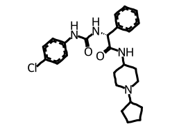 O=C(Nc1ccc(Cl)cc1)N[C@@H](C(=O)NC1CCN(C2CCCC2)CC1)c1ccccc1